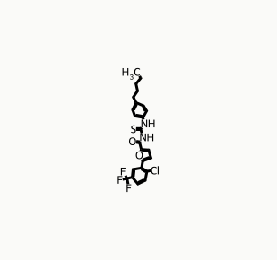 CCCCCc1ccc(NC(=S)NC(=O)c2ccc(-c3cc(C(F)(F)F)ccc3Cl)o2)cc1